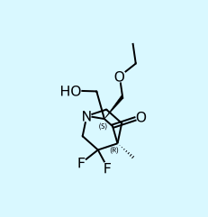 CCOC[C@@]1(CO)C(=O)[C@@]2(C)CCN1CC2(F)F